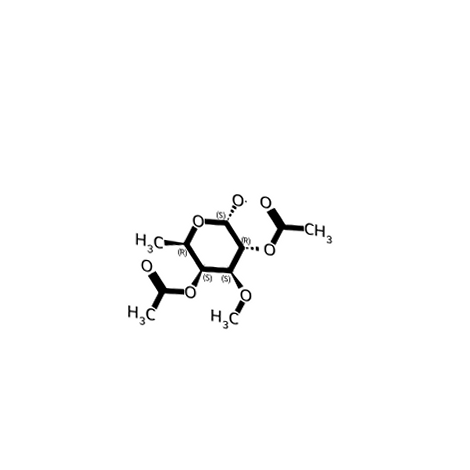 CO[C@H]1[C@@H](OC(C)=O)[C@@H](C)O[C@H]([O])[C@@H]1OC(C)=O